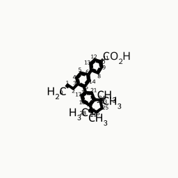 C=CCc1ccc(-c2ccc(C(=O)O)cc2)cc1-c1ccc2c(c1)C(C)(C)CCC2(C)C